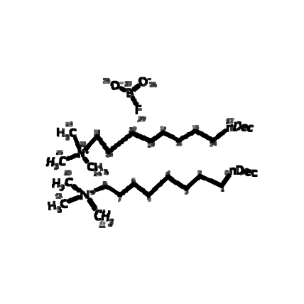 CCCCCCCCCCCCCCCCCC[N+](C)(C)C.CCCCCCCCCCCCCCCCCC[N+](C)(C)C.[O-]B([O-])F